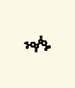 COC(=O)c1ccc2c(-c3c[nH]c4ccc([N+](=O)[O-])cc34)c[nH]c2c1